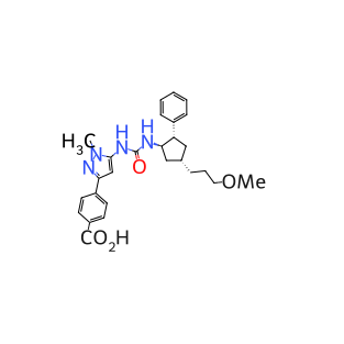 COCCC[C@@H]1C[C@@H](NC(=O)Nc2cc(-c3ccc(C(=O)O)cc3)nn2C)[C@H](c2ccccc2)C1